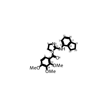 COc1ccc(C(=O)N2CCN=C2Nc2cccc3c2CCC3)c(OC)c1OC